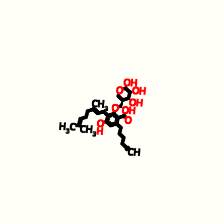 C#CCCCCc1cc(O)c(C/C=C(\C)CCC=C(C)C)c(OC[C@H]2CO[C@H](O)[C@@H](O)[C@@H]2O)c1C(=O)O